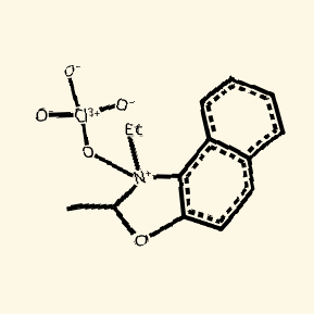 CC[N+]1(O[Cl+3]([O-])([O-])[O-])c2c(ccc3ccccc23)OC1C